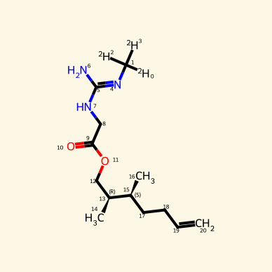 [2H]C([2H])([2H])N=C(N)NCC(=O)OC[C@H](C)[C@@H](C)CCC=C